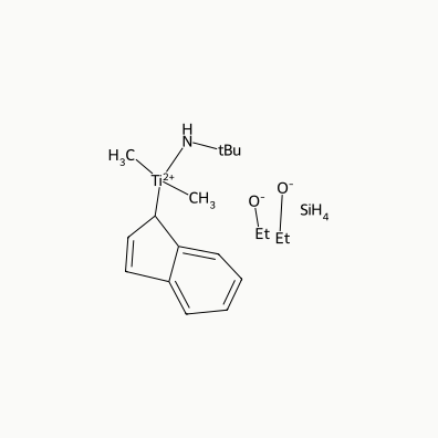 CC(C)(C)[NH][Ti+2]([CH3])([CH3])[CH]1C=Cc2ccccc21.CC[O-].CC[O-].[SiH4]